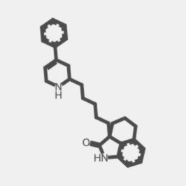 O=C1Nc2cccc3c2C1(CCCCCC1CC(c2ccccc2)=CCN1)CCC3